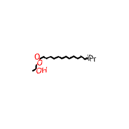 CC(C)CCCCCCCCCCCCC(=O)OCC(C)O